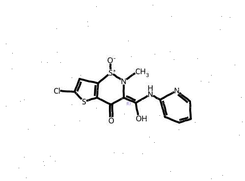 CN1/C(=C(/O)Nc2ccccn2)C(=O)c2sc(Cl)cc2[S+]1[O-]